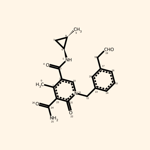 Cc1c(C(=O)N[C@H]2C[C@@H]2C)cn(Cc2cccc(CC=O)c2)c(=O)c1C(N)=O